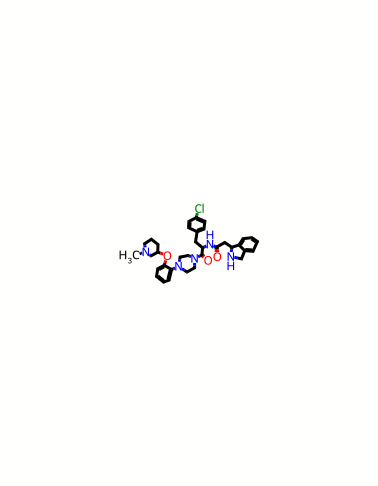 CN1CCCC(Oc2ccccc2N2CCN(C(=O)C(Cc3ccc(Cl)cc3)NC(=O)CC3NCc4ccccc43)CC2)C1